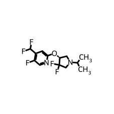 CC(C)N1C[C@H](Oc2cc(C(F)F)c(F)cn2)C(F)(F)C1